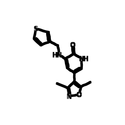 Cc1noc(C)c1-c1c[nH]c(=O)c(NCc2ccsc2)c1